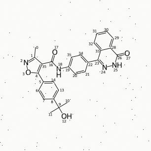 Cc1noc(-c2ccc(C(C)(C)O)cc2)c1C(=O)Nc1ccc(-c2n[nH]c(=O)c3ccccc23)cc1